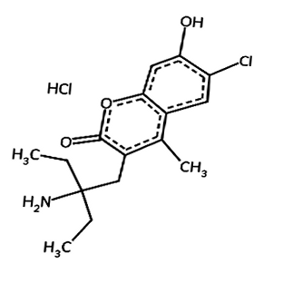 CCC(N)(CC)Cc1c(C)c2cc(Cl)c(O)cc2oc1=O.Cl